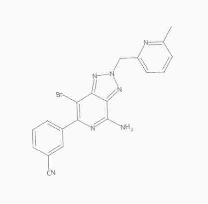 Cc1cccc(Cn2nc3c(N)nc(-c4cccc(C#N)c4)c(Br)c3n2)n1